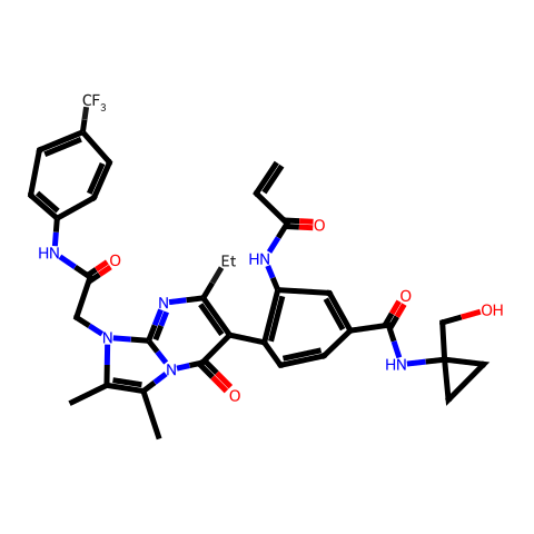 C=CC(=O)Nc1cc(C(=O)NC2(CO)CC2)ccc1-c1c(CC)nc2n(CC(=O)Nc3ccc(C(F)(F)F)cc3)c(C)c(C)n2c1=O